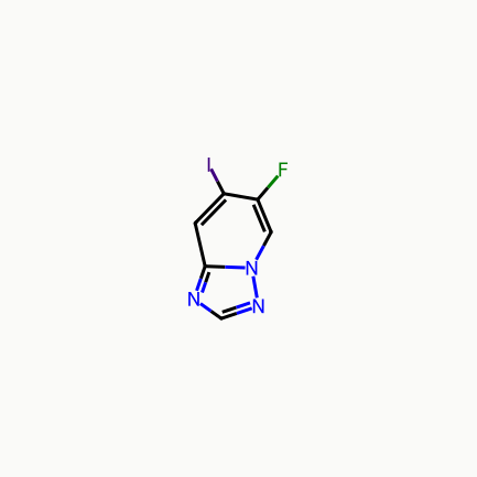 Fc1cn2ncnc2cc1I